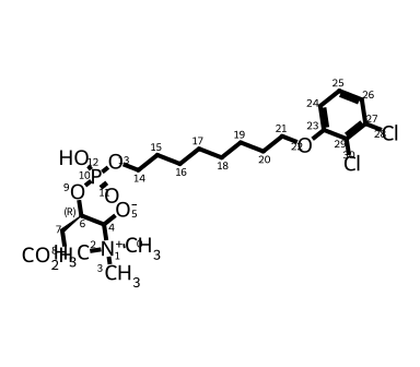 C[N+](C)(C)C([O-])[C@@H](CC(=O)O)OP(=O)(O)OCCCCCCCCOc1cccc(Cl)c1Cl